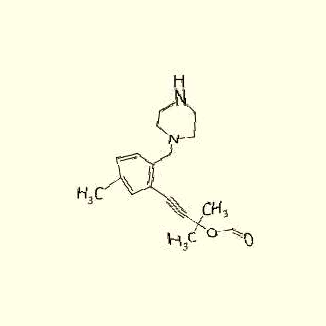 Cc1ccc(CN2CCNCC2)c(C#CC(C)(C)OC=O)c1